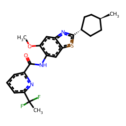 COc1cc2nc([C@H]3CC[C@H](C)CC3)sc2cc1NC(=O)c1cccc(C(C)(F)F)n1